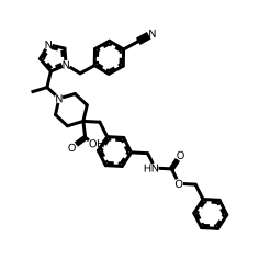 CC(c1cncn1Cc1ccc(C#N)cc1)N1CCC(Cc2cccc(CNC(=O)OCc3ccccc3)c2)(C(=O)O)CC1